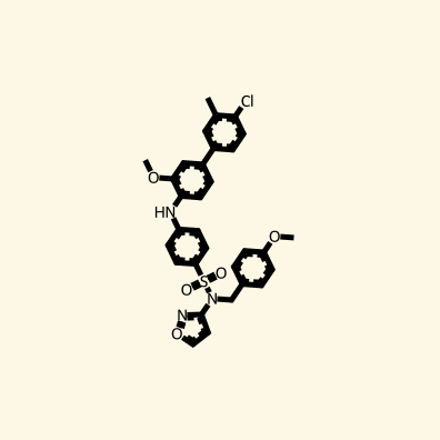 COc1ccc(CN(c2ccon2)S(=O)(=O)c2ccc(Nc3ccc(-c4ccc(Cl)c(C)c4)cc3OC)cc2)cc1